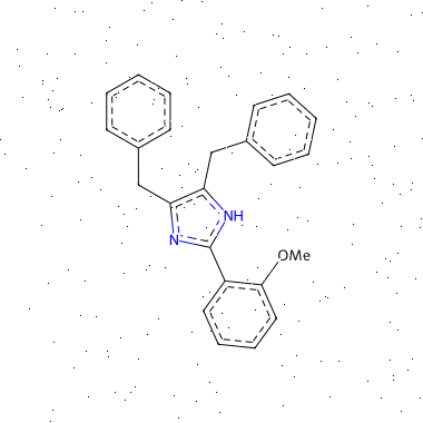 COc1ccccc1-c1nc(Cc2ccccc2)c(Cc2ccccc2)[nH]1